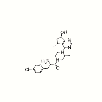 CC1CN(C(=O)C(N)Cc2ccc(Cl)cc2)CCN1c1ncnc2c1[C@H](C)C[C@H]2O